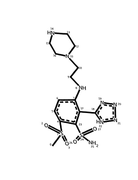 CS(=O)(=O)c1ccc(NCCN2CCNCC2)c(-c2nnn[nH]2)c1S(N)(=O)=O